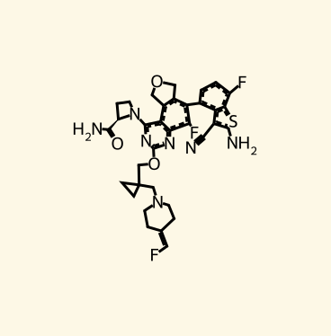 N#Cc1c(N)sc2c(F)ccc(-c3c4c(c5c(N6CC[C@@H]6C(N)=O)nc(OCC6(CN7CCC(=CF)CC7)CC6)nc5c3F)COC4)c12